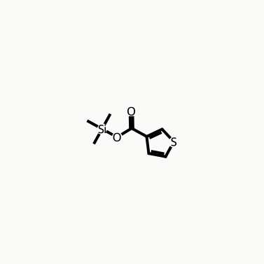 C[Si](C)(C)OC(=O)c1ccsc1